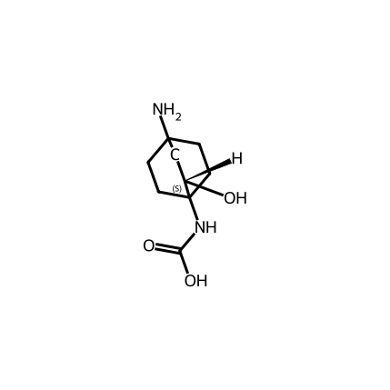 NC12CCC(NC(=O)O)(CC1)[C@@H](O)C2